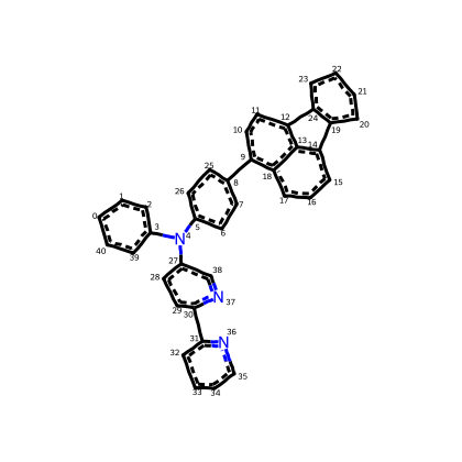 c1ccc(N(c2ccc(-c3ccc4c5c(cccc35)-c3ccccc3-4)cc2)c2ccc(-c3ccccn3)nc2)cc1